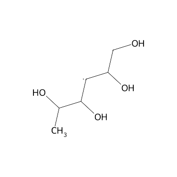 CC(O)C(O)[CH]C(O)CO